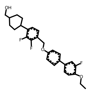 CCOc1ccc(-c2ccc(OCc3ccc(C4CCC(CO)CC4)c(F)c3F)cc2)cc1F